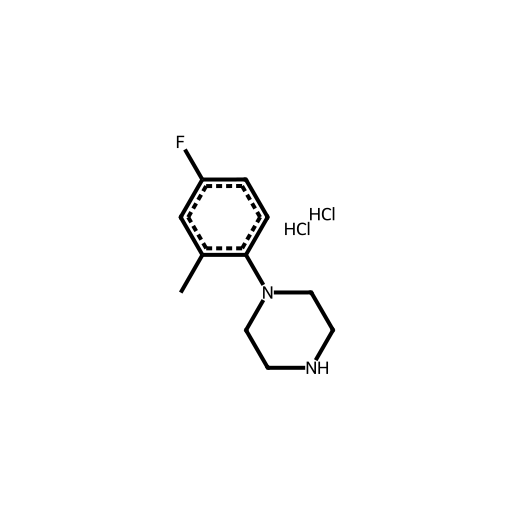 Cc1cc(F)ccc1N1CCNCC1.Cl.Cl